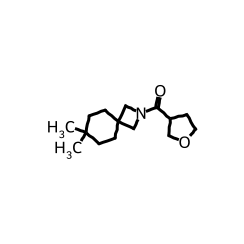 CC1(C)CCC2(CC1)CN(C(=O)C1CCOC1)C2